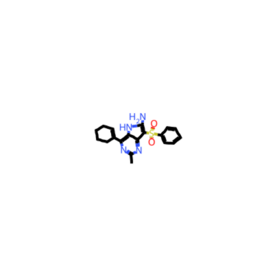 Cc1nc(C2=CCCCC2)c2[nH]c(N)c(S(=O)(=O)c3ccccc3)c2n1